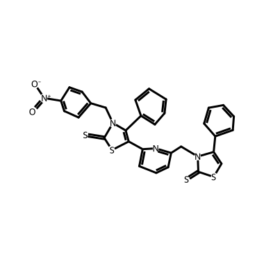 O=[N+]([O-])c1ccc(Cn2c(-c3ccccc3)c(-c3cccc(Cn4c(-c5ccccc5)csc4=S)n3)sc2=S)cc1